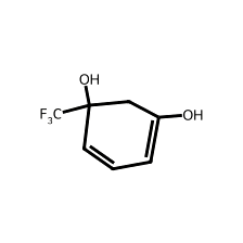 OC1=CC=CC(O)(C(F)(F)F)C1